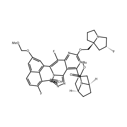 C#Cc1c(F)ccc2cc(OCOC)cc(-c3c(F)c4nc(OC[C@@]56CCCN5C[C@H](F)C6)nc(N5C[C@H]6CC[C@@H](C5)N6C(=O)OC(C)(C)C)c4c4nnnn34)c12